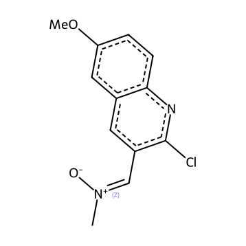 COc1ccc2nc(Cl)c(/C=[N+](/C)[O-])cc2c1